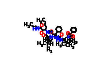 C=CCNC(=O)C(=O)C(CCCC)NC(=O)[C@@H]1[C@@H]2[C@H](CN1C(=O)[C@@H](NC(=O)N[C@H](CN(C)S(=O)(=O)c1ccccc1)C(C)(C)C)C1CCCCC1)C2(C)C